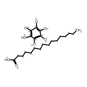 CCCCCCCCCCCCCCCC(=O)O.Oc1c(Cl)c(Cl)c(Cl)c(Cl)c1Cl